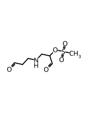 CS(=O)(=O)OC(C=O)CNCCC=O